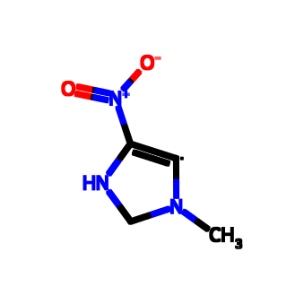 CN1[C]=C([N+](=O)[O-])NC1